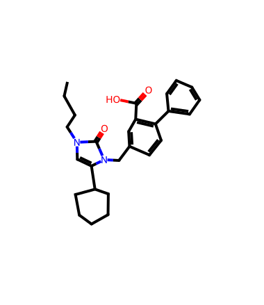 CCCCn1cc(C2CCCCC2)n(Cc2ccc(-c3ccccc3)c(C(=O)O)c2)c1=O